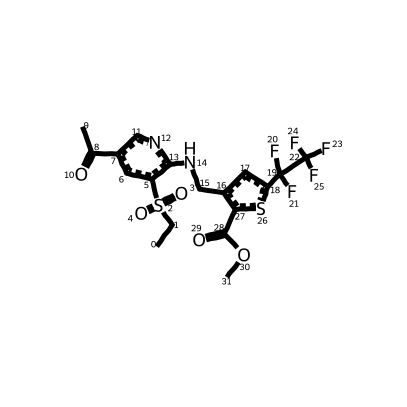 CCS(=O)(=O)c1cc(C(C)=O)cnc1NCc1cc(C(F)(F)C(F)(F)F)sc1C(=O)OC